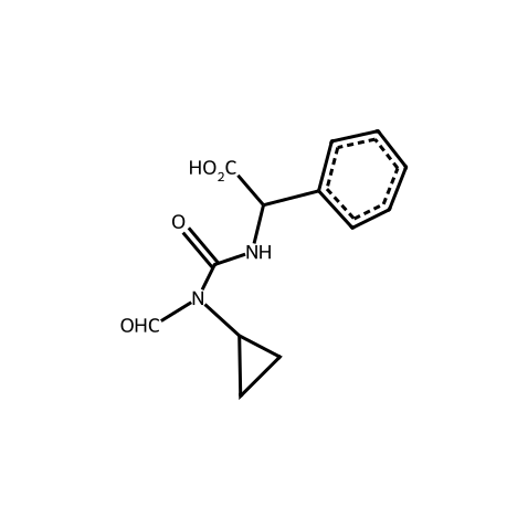 O=CN(C(=O)NC(C(=O)O)c1ccccc1)C1CC1